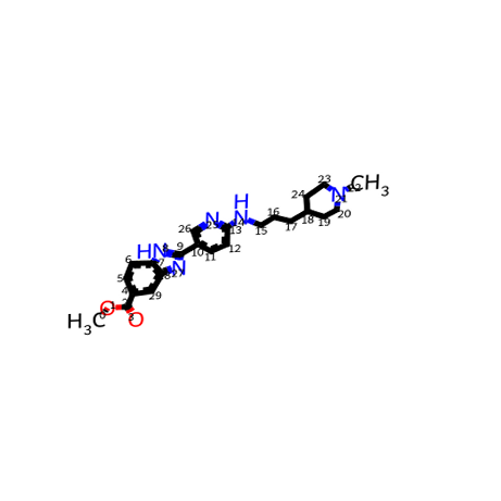 COC(=O)c1ccc2[nH]c(-c3ccc(NCCCC4CCN(C)CC4)nc3)nc2c1